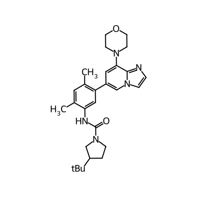 Cc1cc(C)c(-c2cc(N3CCOCC3)c3nccn3c2)cc1NC(=O)N1CCC(C(C)(C)C)C1